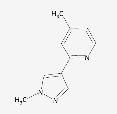 Cc1ccnc(-c2cnn(C)c2)c1